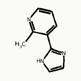 Cc1ncccc1-c1ncc[nH]1